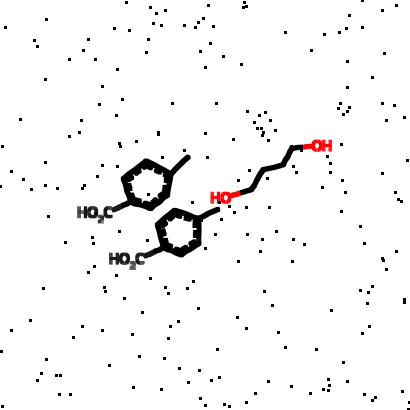 Cc1ccc(C(=O)O)cc1.Cc1ccc(C(=O)O)cc1.OCCCCO